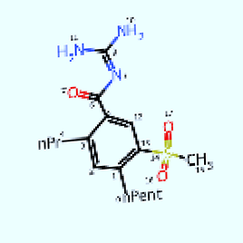 CCCCCc1cc(CCC)c(C(=O)N=C(N)N)cc1S(C)(=O)=O